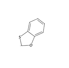 [CH]1Oc2ccccc2S1